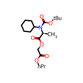 CCCOC(=O)COC(=O)[C@H](C)N(C(=O)OC(C)(C)C)C1CCCCC1